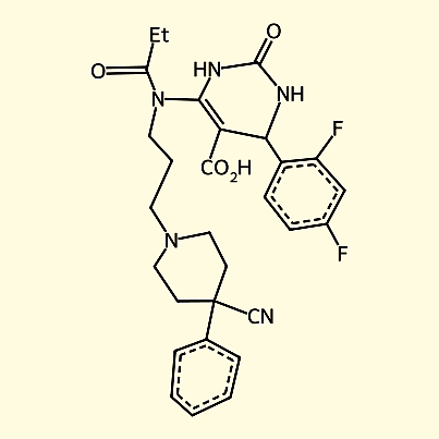 CCC(=O)N(CCCN1CCC(C#N)(c2ccccc2)CC1)C1=C(C(=O)O)C(c2ccc(F)cc2F)NC(=O)N1